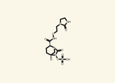 O=C(NOCCN1CCNC1=O)[C@@H]1CC[C@@H]2CN1C(=O)N2OS(=O)(=O)O